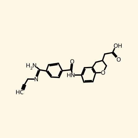 C#CCN=C(N)c1ccc(C(=O)Nc2ccc3c(c2)CC(CC(=O)O)CO3)cc1